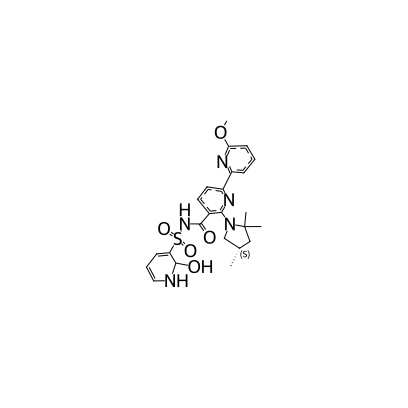 COc1cccc(-c2ccc(C(=O)NS(=O)(=O)C3=CC=CNC3O)c(N3C[C@@H](C)CC3(C)C)n2)n1